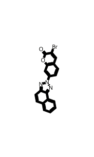 O=c1oc2cc(-n3nc4ccc5ccccc5c4n3)ccc2cc1Br